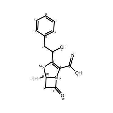 O=C(O)C1=C(C(O)Cc2ccccc2)S[C@@H]2CC(=O)N12